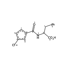 CC(C)CC(NC(=O)c1ccc(Cl)s1)C(=O)O